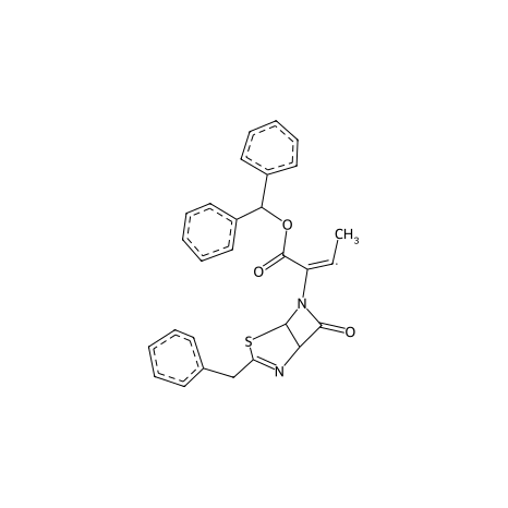 C[C]=C(C(=O)OC(c1ccccc1)c1ccccc1)N1C(=O)C2N=C(Cc3ccccc3)SC21